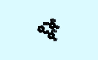 CC(C)(C)c1cc(Br)ccc1O.CC(C)(C)c1cc(Br)ccc1OCc1ccccc1